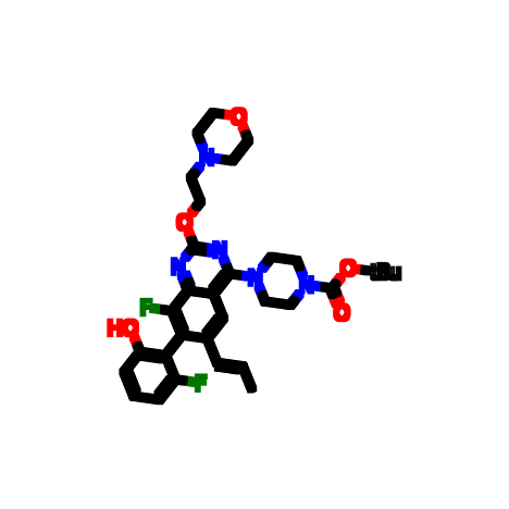 CC=Cc1cc2c(N3CCN(C(=O)OC(C)(C)C)CC3)nc(OCCN3CCOCC3)nc2c(F)c1-c1c(O)cccc1F